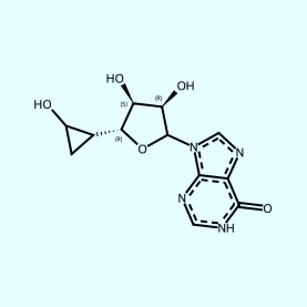 O=c1[nH]cnc2c1ncn2C1O[C@H](C2CC2O)[C@@H](O)[C@H]1O